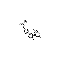 CCCC(=O)CCc1ccc(-c2ccc(C)c(C34CC(C)CC(CC(C)C3)C4)c2)cc1